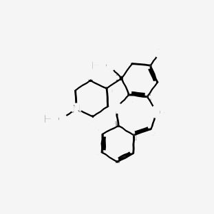 CN1CCC(C2(C)CC(Cl)=CC3=C2SC2C=CC=CC2=CO3)CC1